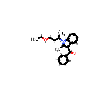 CCOCCC(C)n1c(C)c(C(=O)c2ccccc2)c2ccccc21